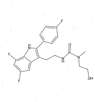 CN(CCO)C(=O)NCCc1c(-c2ccc(F)cc2)[nH]c2c(F)cc(F)cc12